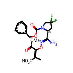 COC(=O)C(ON=C(N)[C@@H]1CC(F)(F)CN1C(=O)OCc1ccccc1)=C(C)C(=O)O